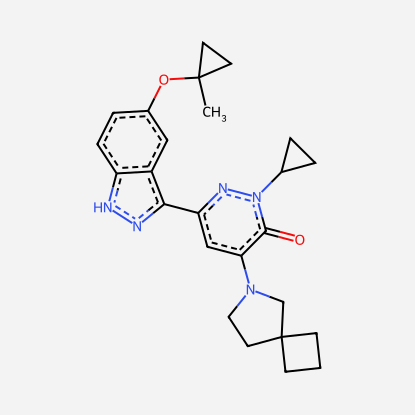 CC1(Oc2ccc3[nH]nc(-c4cc(N5CCC6(CCC6)C5)c(=O)n(C5CC5)n4)c3c2)CC1